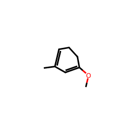 COC1=CC(C)=CCC1